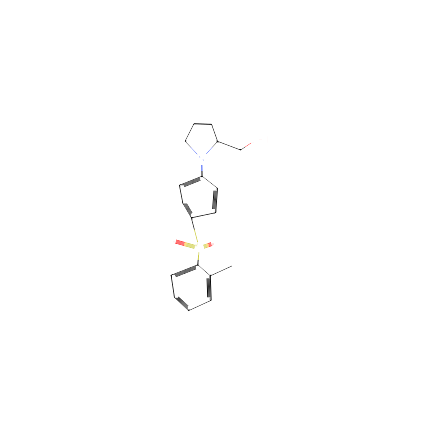 Cc1ccccc1S(=O)(=O)c1ccc(N2CCCC2CO)cc1